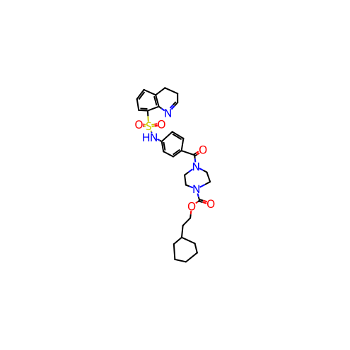 O=C(OCCC1CCCCC1)N1CCN(C(=O)c2ccc(NS(=O)(=O)c3cccc4c3N=CCC4)cc2)CC1